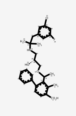 Cc1c(C(=O)O)ccc(-c2ccccc2)c1C(C)OC[C@H](O)CNC(C)(C)Cc1cc(F)cc(Cl)c1